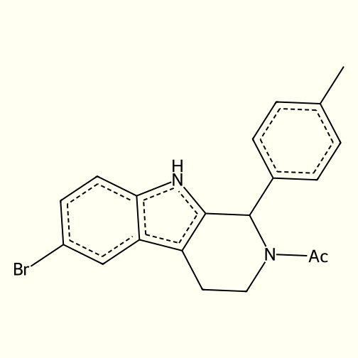 CC(=O)N1CCc2c([nH]c3ccc(Br)cc23)C1c1ccc(C)cc1